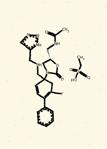 CC(=O)NC[C@H]1CN(C2(CNCc3cnn[nH]3)C=CC(c3ccccc3)=C(F)C2)C(=O)O1.CCS(=O)(=O)O